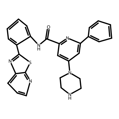 O=C(Nc1ccccc1-c1nc2cccnc2s1)c1cc(N2CCNCC2)cc(-c2ccccc2)n1